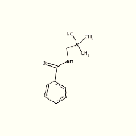 CC(C)(C#N)CNC(=O)c1ccccc1